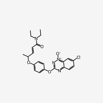 CCN(CC)C(=O)/C=C/C(C)Oc1ccc(Oc2nc3ccc(Cl)cc3[n+]([O-])n2)cc1